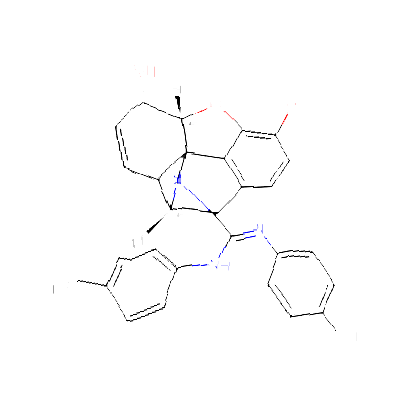 Cc1ccc(N=C(Nc2ccc(C)cc2)N2CC34c5c6ccc(O)c5O[C@H]3[C@@H](O)C=CC4[C@H]2C6)cc1